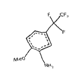 COc1ccc(C(F)(F)C(F)(F)F)cc1N